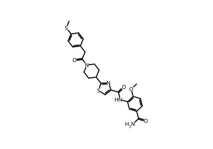 COc1ccc(C(N)=O)cc1NC(=O)c1csc(C2CCN(C(=O)Cc3ccc(SC)cc3)CC2)n1